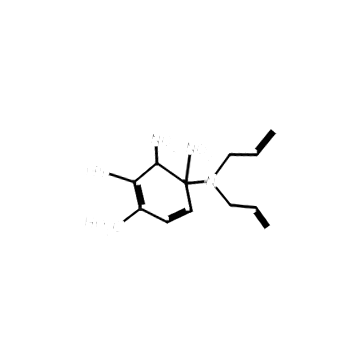 C=CCN(CC=C)C1([N+](=O)[O-])C=CC(C(=O)O)=C(CCC)C1[N+](=O)[O-]